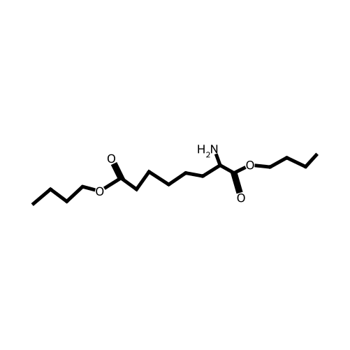 CCCCOC(=O)CCCCCC(N)C(=O)OCCCC